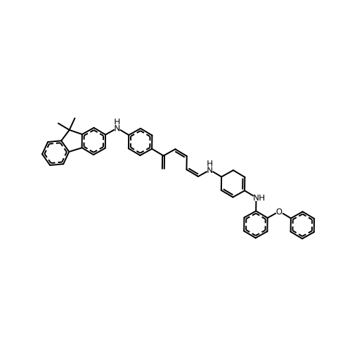 C=C(/C=C\C=C/NC1C=CC(Nc2ccccc2Oc2ccccc2)=CC1)c1ccc(Nc2ccc3c(c2)C(C)(C)c2ccccc2-3)cc1